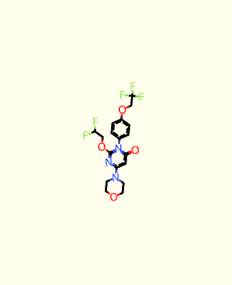 O=c1cc(N2CCOCC2)nc(OCC(F)F)n1-c1ccc(OCC(F)(F)F)cc1